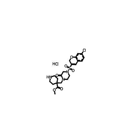 COC(=O)C1(CN2CCN(S(=O)(=O)C3=Cc4ccc(Cl)cc4OC3)CC2=O)CCNCC1.Cl